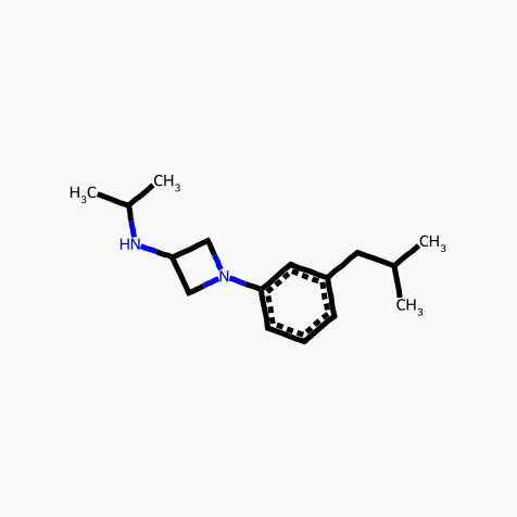 CC(C)Cc1cccc(N2CC(NC(C)C)C2)c1